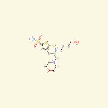 NS(=O)(=O)c1cc2c(s1)SN(CCCCO)C(CN1CCOCC1)=C2